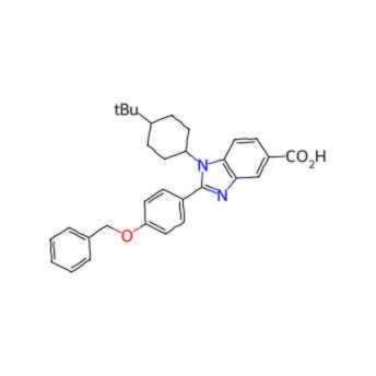 CC(C)(C)C1CCC(n2c(-c3ccc(OCc4ccccc4)cc3)nc3cc(C(=O)O)ccc32)CC1